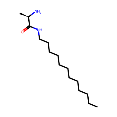 CCCCCCCCCCCCNC(=O)[C@@H](C)N